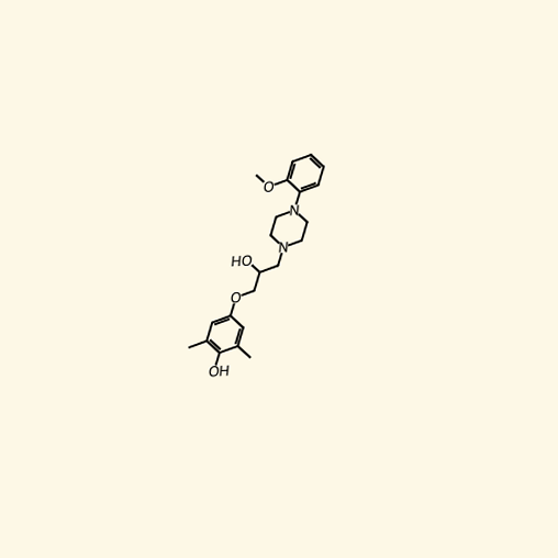 COc1ccccc1N1CCN(CC(O)COc2cc(C)c(O)c(C)c2)CC1